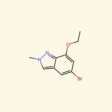 CCOc1cc(Br)cc2cn(C)nc12